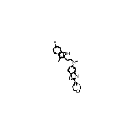 Cc1c(CCN(C)c2ccc3oc(N4CCOCC4)nc3c2)[nH]c2cc(F)ccc12